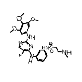 CNCCS(=O)(=O)Nc1cccc(Nc2nc(Nc3cc(OC)c(OC)c(OC)c3)ncc2F)c1